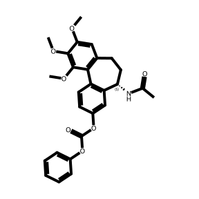 COc1cc2c(c(OC)c1OC)-c1ccc(OC(=O)Oc3ccccc3)cc1[C@@H](NC(C)=O)CC2